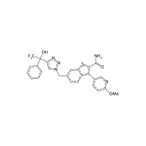 COc1ccc(-c2c(C(N)=O)sc3cc(Cn4cc(C(O)(c5ccccc5)C(F)(F)F)nn4)ccc23)cn1